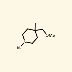 CCN1CCC(C)(COC)CC1